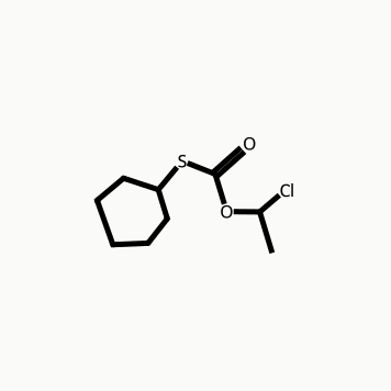 CC(Cl)OC(=O)SC1CCCCC1